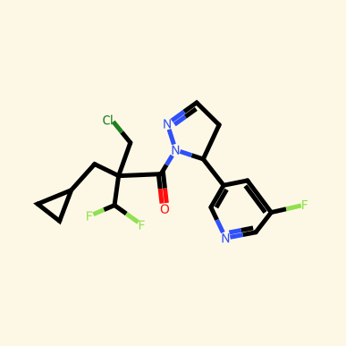 O=C(N1N=CCC1c1cncc(F)c1)C(CCl)(CC1CC1)C(F)F